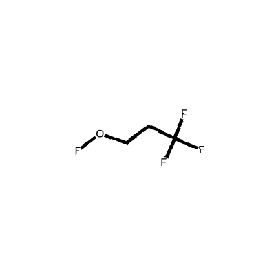 FOCCC(F)(F)F